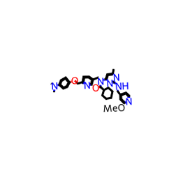 COc1cc(CNc2nc(C)cc(N(Cc3ccc(COc4ccc(N(C)C)cc4)nc3)C(=O)C3CCCCC3)n2)ccn1